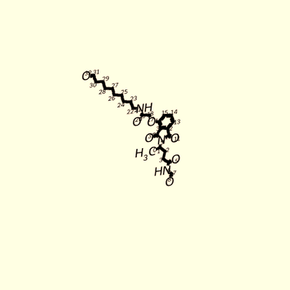 CC(CCC(=O)NC=O)N1C(=O)c2cccc(OCC(=O)NCCCCCCCCCC=O)c2C1=O